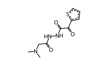 CN(C)CC(=O)NNC(=O)C(=O)c1cccs1